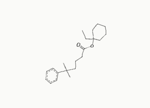 CCC1(OC(=O)CCCC(C)(C)c2ccccc2)CCCCC1